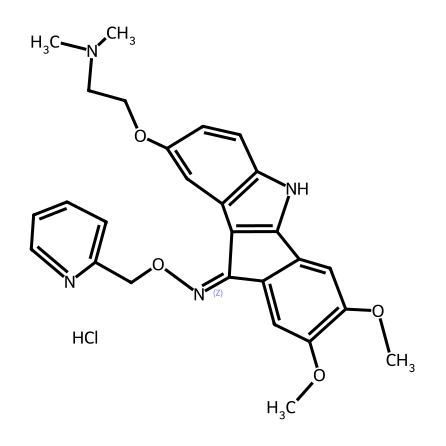 COc1cc2c(cc1OC)-c1[nH]c3ccc(OCCN(C)C)cc3c1/C2=N\OCc1ccccn1.Cl